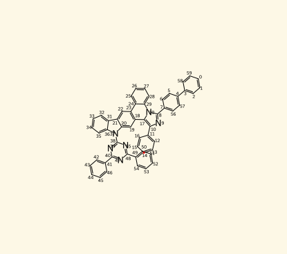 c1ccc(-c2ccc(-c3nc(-c4ccccc4)c4c5cc6c(cc5c5ccccc5n34)c3ccccc3n6-c3nc(-c4ccccc4)nc(-c4ccccc4)n3)cc2)cc1